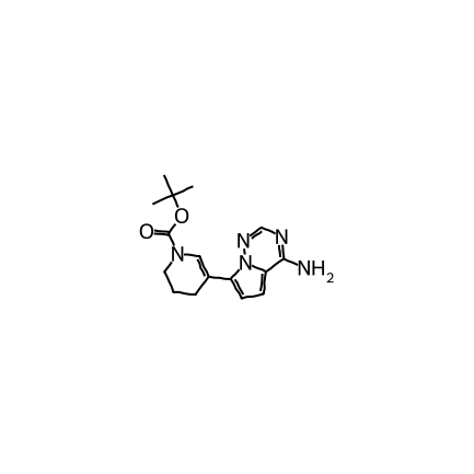 CC(C)(C)OC(=O)N1C=C(c2ccc3c(N)ncnn23)CCC1